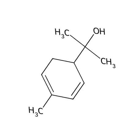 CC1=CCC(C(C)(C)O)C=C1